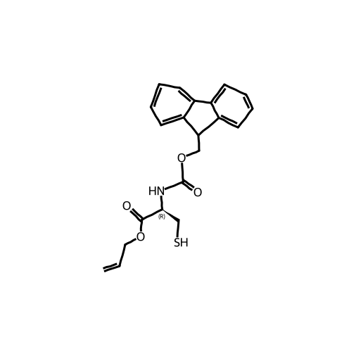 C=CCOC(=O)[C@H](CS)NC(=O)OCC1c2ccccc2-c2ccccc21